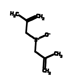 C=C(C)C[S+]([O-])CC(=C)C